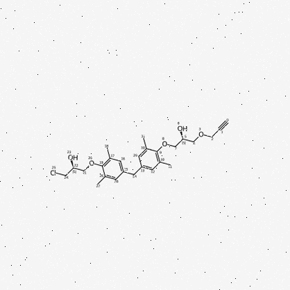 C#CCOC[C@H](O)COc1c(C)cc(Cc2cc(C)c(OC[C@H](O)CCl)c(C)c2)cc1C